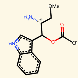 COC[C@@H](N)C(OC(=O)C(F)(F)F)c1c[nH]c2ccccc12